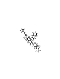 CN1CCCC1CCNC(=O)c1cn2c3c(c(N4CCC(C#N)(C5=CCCC=C5)CC4)c(F)cc3c1=O)Oc1cc3ccccc3cc1-2